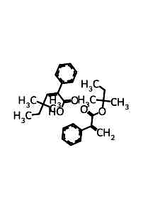 C=C(C(=O)OC(C)(C)CC)c1ccccc1.CCC(C)(C)C=C(C(=O)O)c1ccccc1